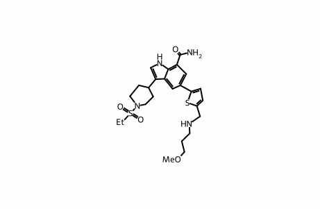 CCS(=O)(=O)N1CCC(c2c[nH]c3c(C(N)=O)cc(-c4ccc(CNCCCOC)s4)cc23)CC1